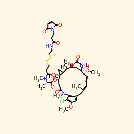 COc1cc2cc(c1Cl)N(C)C(=O)C[C@H](OC(=O)[C@H](C)N(C)C(=O)CCSSCCNC(=O)CCN1C(=O)C=CC1=O)[C@@]1(C)C[C@H]1[C@H](C)[C@@H]1C[C@@](O)(NC(=O)O1)[C@H](OC)/C=C/C=C(\C)C2